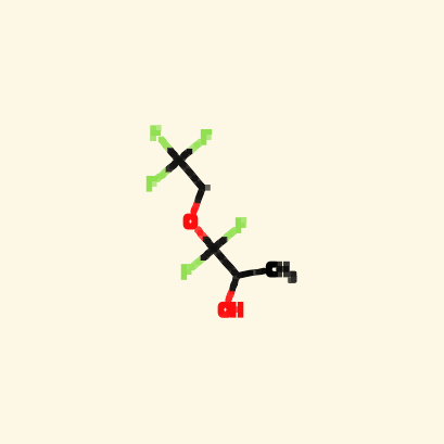 CC(O)C(F)(F)O[CH]C(F)(F)F